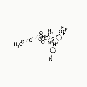 COCCOCCCS(=O)(=O)NC(=O)c1nc(N(Cc2ccc(OC(F)(F)F)cc2)c2ccc(C#N)cc2)sc1C